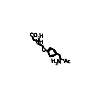 CC(=O)[C@@H](N)Cc1ccc(OCCNCC(=O)O)cc1